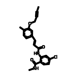 CC#CCOc1cc(/C=C/C(=O)Nc2cc(Cl)ccc2C(=O)NC)ccc1C